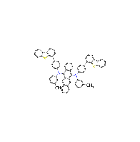 Cc1cccc(N(c2ccc(-c3cccc4c3sc3ccccc34)cc2)c2c3ccccc3c(N(c3ccc(-c4cccc5c4sc4ccccc45)cc3)c3cccc(C)c3)c3cc4ccccc4cc23)c1